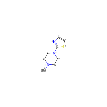 CC(C)(C)N1CCN(c2nccs2)CC1